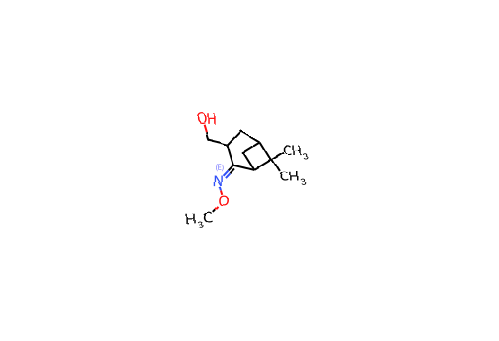 CO/N=C1/C(CO)CC2CC1C2(C)C